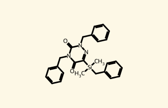 C[Si](C)(Cc1ccccc1)c1nn(Cc2ccccc2)c(=O)n(Cc2ccccc2)c1=O